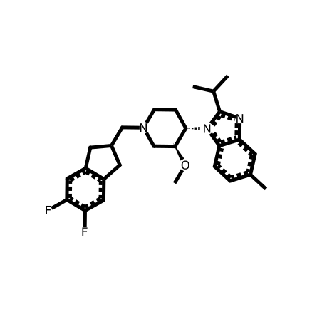 CO[C@H]1CN(CC2Cc3cc(F)c(F)cc3C2)CC[C@@H]1n1c(C(C)C)nc2cc(C)ccc21